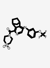 O=C(c1ncc(Nc2cccc(OC(F)(F)F)c2)c2c1C1CCC2C1)N1CCS(=O)(=O)CC1